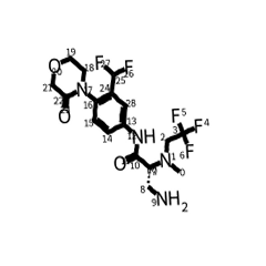 CN(CC(F)(F)F)[C@H](CN)C(=O)Nc1ccc(N2CCOCC2=O)c(C(F)F)c1